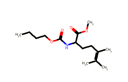 CCCCOC(=O)NC(CCC(C)=C(C)C)C(=O)OC